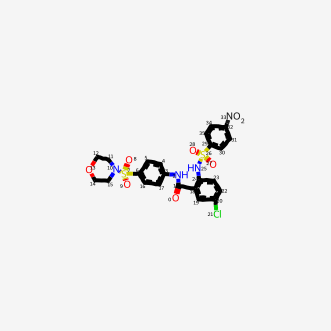 O=C(Nc1ccc(S(=O)(=O)N2CCOCC2)cc1)c1cc(Cl)ccc1NS(=O)(=O)c1ccc([N+](=O)[O-])cc1